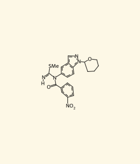 [H]/N=C(/SC)N(C(=O)c1cccc([N+](=O)[O-])c1)c1ccc2c(cnn2C2CCCCO2)c1